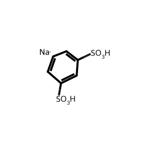 O=S(=O)(O)c1cccc(S(=O)(=O)O)c1.[Na]